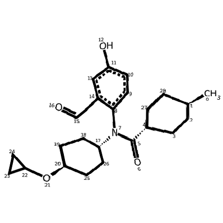 C[C@H]1CC[C@H](C(=O)N(c2ccc(O)cc2C=O)[C@H]2CC[C@H](OC3CC3)CC2)CC1